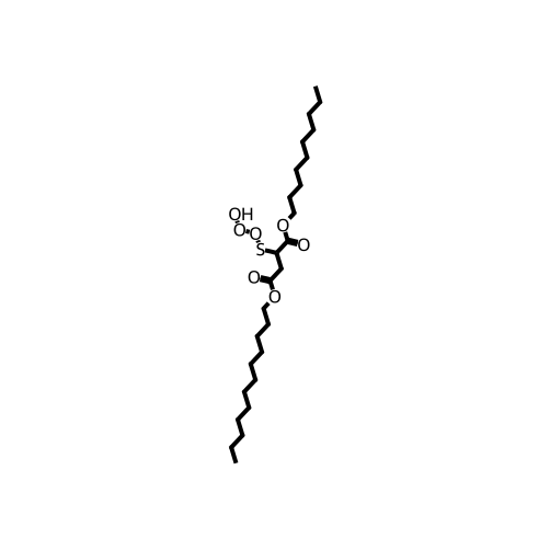 CCCCCCCCCCCCOC(=O)CC(SOOO)C(=O)OCCCCCCCCCC